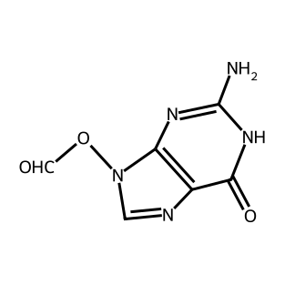 Nc1nc2c(ncn2OC=O)c(=O)[nH]1